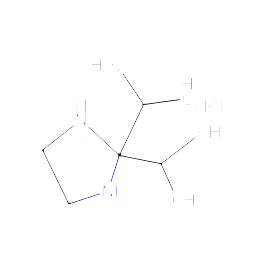 CC(C)C1(C(C)C)NCCN1.Cl